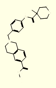 CC1(C(=O)Nc2ccc(CN3CCc4cc(C(=O)NO)ccc4C3)cc2)CCNCC1